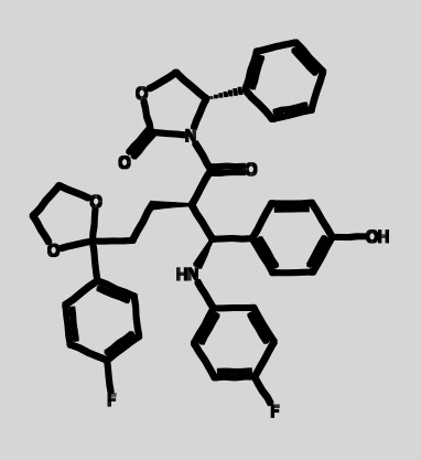 O=C1OC[C@H](c2ccccc2)N1C(=O)[C@H](CCC1(c2ccc(F)cc2)OCCO1)[C@H](Nc1ccc(F)cc1)c1ccc(O)cc1